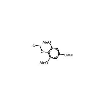 COc1cc(OC)c(OC[O])c(OC)c1